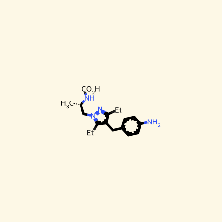 CCc1nn(C[C@H](C)NC(=O)O)c(CC)c1Cc1ccc(N)cc1